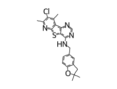 Cc1nc2sc3c(NCc4ccc5c(c4)CC(C)(C)O5)ncnc3c2c(C)c1Cl